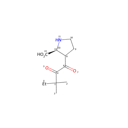 CCC(C)(C)C(=O)C(=O)C1CCN[C@@H]1C(=O)O